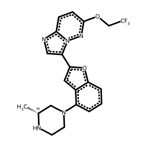 C[C@@H]1CN(c2cccc3oc(-c4cnc5ccc(OCC(F)(F)F)nn45)cc23)CCN1